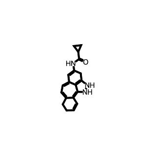 O=C(NC1=CC2=CC=C3CCC=CC3=C3NNC(=C23)C1)C1CC1